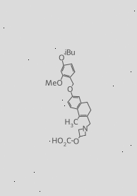 CC[C@@H](C)Oc1ccc(COc2ccc3c(c2)CCC(CN2CC(OC(=O)O)C2)=C3C)c(OC)c1